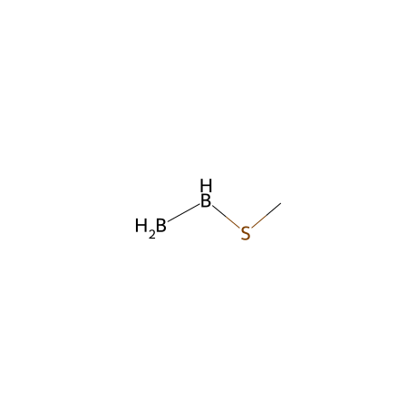 BBSC